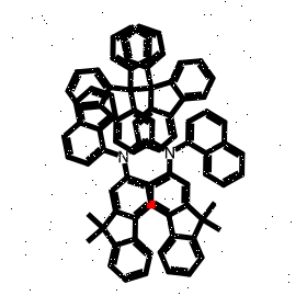 CC1(C)c2ccccc2-c2ccc(N(c3ccc4c(c3)C(c3ccccc3)(C3(c5ccccc5)c5ccccc5-c5ccc(N(c6ccc7c(c6)C(C)(C)c6ccccc6-7)c6cccc7ccccc67)cc53)c3ccccc3-4)c3cccc4ccccc34)cc21